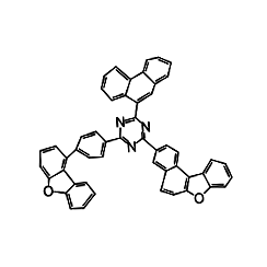 c1ccc2c(c1)cc(-c1nc(-c3ccc(-c4cccc5oc6ccccc6c45)cc3)nc(-c3ccc4c(ccc5oc6ccccc6c54)c3)n1)c1ccccc12